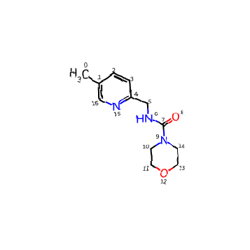 Cc1ccc(CNC(=O)N2CCOCC2)nc1